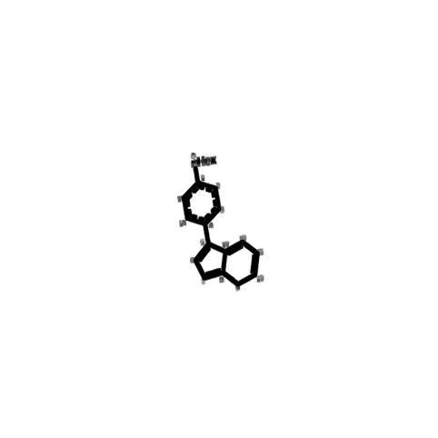 CCCCCCc1ccc(C2=CC=C3CC=CC=C32)cc1